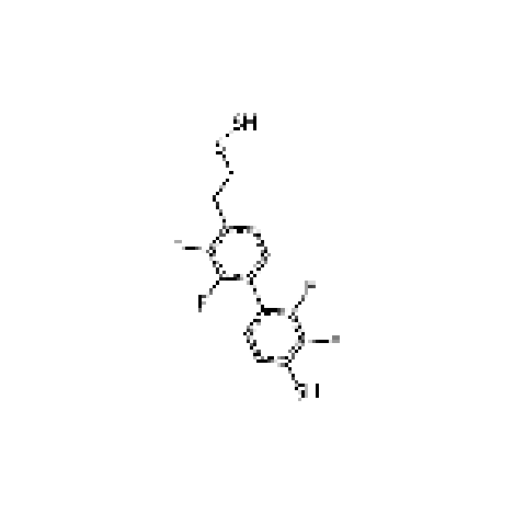 Fc1c(S)ccc(-c2ccc(CCSS)c(F)c2F)c1F